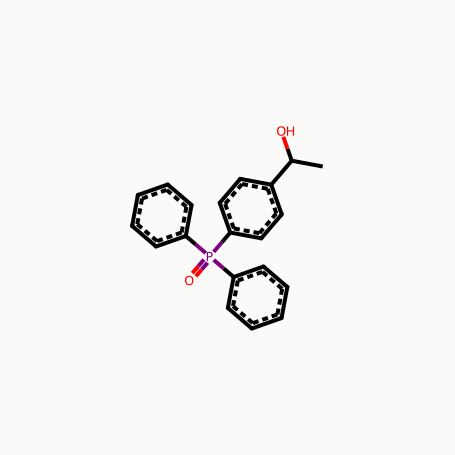 CC(O)c1ccc(P(=O)(c2ccccc2)c2ccccc2)cc1